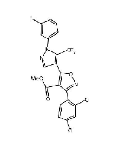 COC(=O)c1c(-c2ccc(Cl)cc2Cl)noc1-c1cnn(-c2cccc(F)c2)c1C(F)(F)F